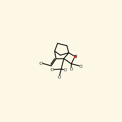 ClC=C1C2CCC(Cl)(C2)C1(C(Cl)(Cl)Cl)C(Cl)(Cl)Cl